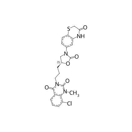 Cn1c(=O)n(CCC[C@H]2CN(c3ccc4c(c3)NC(=O)CS4)C(=O)O2)c(=O)c2cccc(Cl)c21